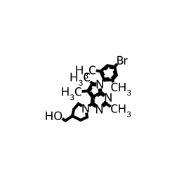 Cc1nc(N2CCC(CO)CC2)c2c(C)c(C)n(-c3c(C)cc(Br)cc3C)c2n1